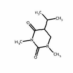 CC(C)C1CN(C)C(=O)N(C)C1=O